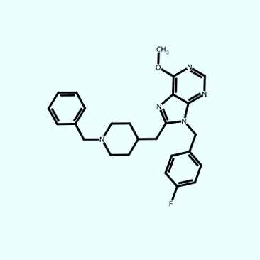 COc1ncnc2c1nc(CC1CCN(Cc3ccccc3)CC1)n2Cc1ccc(F)cc1